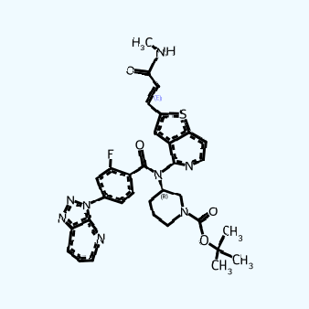 CNC(=O)/C=C/c1cc2c(N(C(=O)c3ccc(-n4nnc5cccnc54)cc3F)[C@@H]3CCCN(C(=O)OC(C)(C)C)C3)nccc2s1